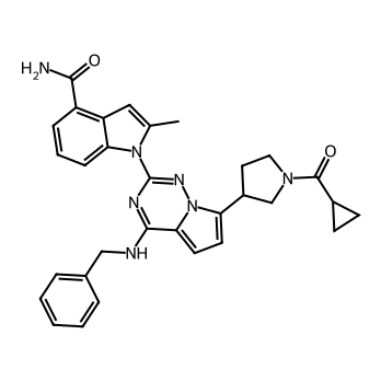 Cc1cc2c(C(N)=O)cccc2n1-c1nc(NCc2ccccc2)c2ccc(C3CCN(C(=O)C4CC4)C3)n2n1